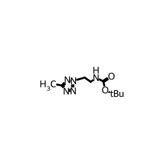 Cc1nnn(CCNC(=O)OC(C)(C)C)n1